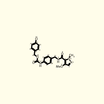 COc1cnn(C)c1C(=O)NCc1ccc(NC(=O)OCc2ccc(Cl)cc2)cc1